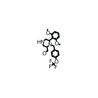 COc1cccc(OC)c1C1CNCC(C=O)N1Cc1ccc(OC(F)(F)F)cc1